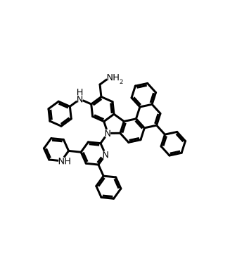 NCc1cc2c3c4c(ccc3n(-c3cc(C5C=CC=CN5)cc(-c5ccccc5)n3)c2cc1Nc1ccccc1)c(-c1ccccc1)cc1ccccc14